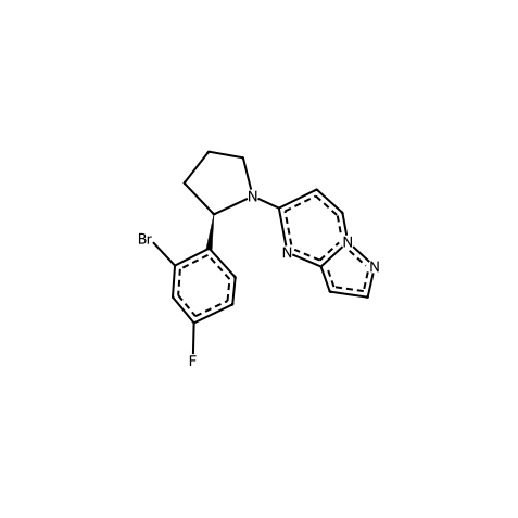 Fc1ccc([C@H]2CCCN2c2ccn3nccc3n2)c(Br)c1